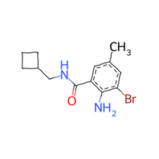 Cc1cc(Br)c(N)c(C(=O)NCC2CCC2)c1